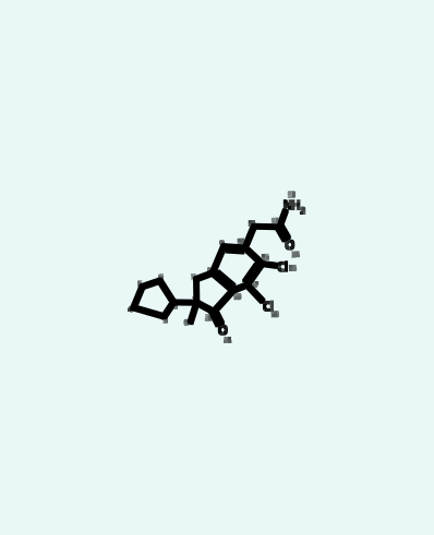 CC1(C2CCCC2)Cc2cc(CC(N)=O)c(Cl)c(Cl)c2C1=O